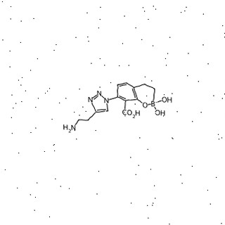 NCCc1cn(-c2ccc3c(c2C(=O)O)O[B-](O)(O)CC3)nn1